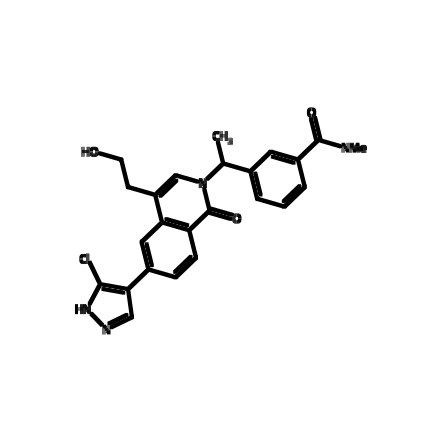 CNC(=O)c1cccc(C(C)n2cc(CCO)c3cc(-c4cn[nH]c4Cl)ccc3c2=O)c1